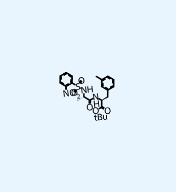 Cc1cccc(C[C@H](NC(=O)[C@H](C)NS(=O)(=O)c2ccccc2[N+](=O)[O-])C(=O)OC(C)(C)C)c1